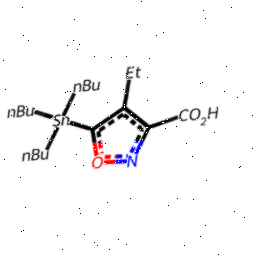 CCC[CH2][Sn]([CH2]CCC)([CH2]CCC)[c]1onc(C(=O)O)c1CC